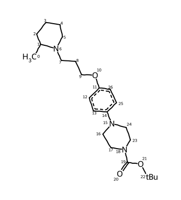 CC1CCCCN1CCCOc1ccc(N2CCN(C(=O)OC(C)(C)C)CC2)cc1